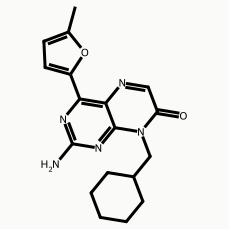 Cc1ccc(-c2nc(N)nc3c2ncc(=O)n3CC2CCCCC2)o1